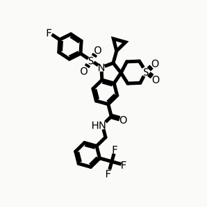 O=C(NCc1ccccc1C(F)(F)F)c1ccc2c(c1)C1(CCS(=O)(=O)CC1)C(C1CC1)N2S(=O)(=O)c1ccc(F)cc1